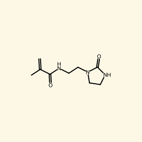 C=C(C)C(=O)NCCN1CCNC1=O